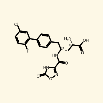 N[C@@H](C[C@@H](Cc1ccc(-c2cc(Cl)ccc2F)cc1)NC(=O)c1noc(=O)[nH]1)C(=O)O